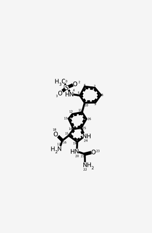 CS(=O)(=O)Nc1ccccc1-c1ccc2c(C(N)=O)c(NC(N)=O)[nH]c2c1